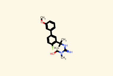 COc1cccc(-c2ccc(F)c(C(C)(C)NC(=N)N(C)CO)c2)c1